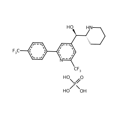 O=P(O)(O)O.O[C@H](c1cc(-c2ccc(C(F)(F)F)cc2)nc(C(F)(F)F)c1)[C@H]1CCCCN1